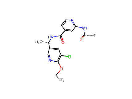 CC(C)C(=O)Nc1cc(C(=O)NC(C)c2cnc(OCC(F)(F)F)c(Cl)c2)ccn1